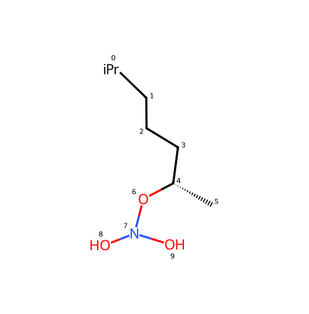 CC(C)CCC[C@H](C)ON(O)O